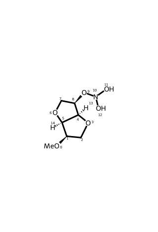 CO[C@@H]1CO[C@H]2[C@@H]1OC[C@H]2ON(O)O